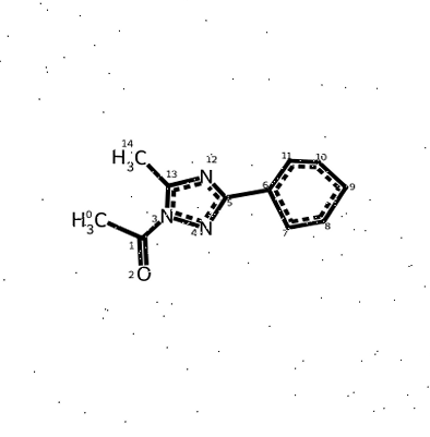 CC(=O)n1nc(-c2ccccc2)nc1C